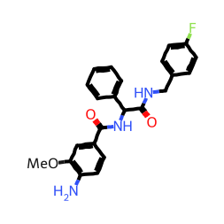 COc1cc(C(=O)NC(C(=O)NCc2ccc(F)cc2)c2ccccc2)ccc1N